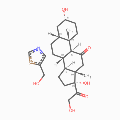 C[C@]12CC[C@@H](O)C[C@H]1CC[C@@H]1[C@@H]2C(=O)C[C@@]2(C)[C@H]1CC[C@]2(O)C(=O)CO.OCc1cncs1